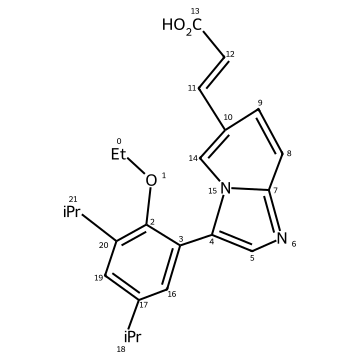 CCOc1c(-c2cnc3ccc(/C=C/C(=O)O)cn23)cc(C(C)C)cc1C(C)C